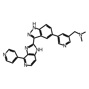 CN(C)Cc1cncc(-c2ccc3[nH]nc(-c4nc5c(-c6ccncc6)nccc5[nH]4)c3c2)c1